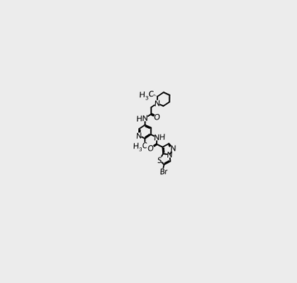 Cc1ncc(NC(=O)CN2CCCC[C@H]2C)cc1NC(=O)c1cnn2cc(Br)sc12